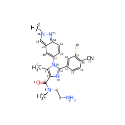 Cc1c(C(=O)N(C)CCN)nc(-c2ccc(C#N)c(F)c2)n1-c1ccc2nn(C)cc2c1